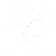 CC(C)CC(C(=O)O)c1cc(C#Cc2ccc(C(F)(F)F)cc2)cc(-c2ccc(C(F)(F)F)cc2)c1